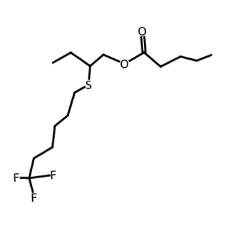 CCCCC(=O)OCC(CC)SCCCCCC(F)(F)F